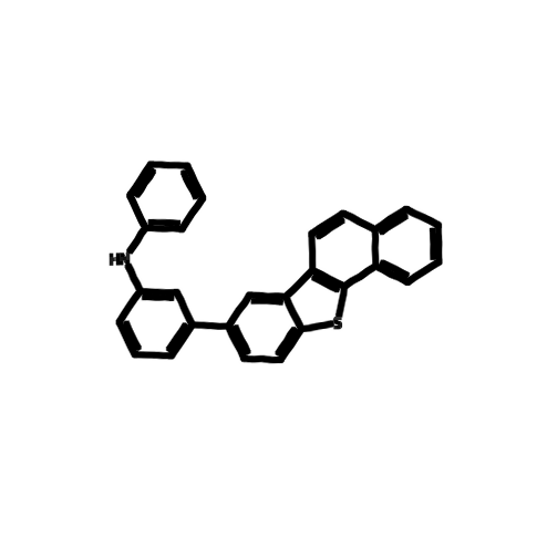 c1ccc(Nc2cccc(-c3ccc4sc5c6ccccc6ccc5c4c3)c2)cc1